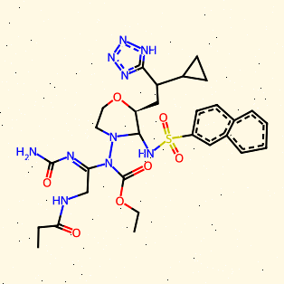 CCOC(=O)N(C(CNC(=O)CC)=NC(N)=O)N1CCO[C@@H](CC(c2nnn[nH]2)C2CC2)C1NS(=O)(=O)c1ccc2ccccc2c1